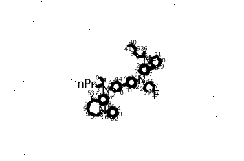 C=C/C(=C\CCC)N(c1ccc(-c2ccc(N(C(/C=C\CF)=C/C)c3ccc4c(c3)C3C=C=CC(C3)N4C(C)/C=C\C=C/C)cc2)cc1)c1ccc2c(c1)C(C)/C=C\C=C/CN2c1ccccc1